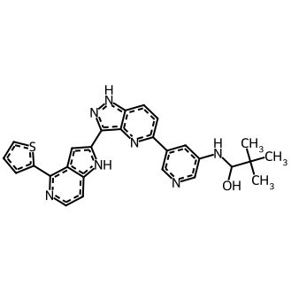 CC(C)(C)C(O)Nc1cncc(-c2ccc3[nH]nc(-c4cc5c(-c6cccs6)nccc5[nH]4)c3n2)c1